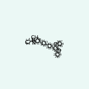 Cn1c(-c2ccccc2)nc2cc(-c3ccc(-c4ccc(-c5cc6c7ccccc7oc6c6c5oc5ccccc56)cc4)cc3)ccc21